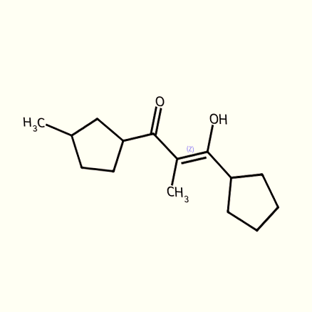 C/C(C(=O)C1CCC(C)C1)=C(/O)C1CCCC1